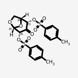 Cc1ccc(S(=O)(=O)O[C@@H]2C(=O)[C@H](OS(=O)(=O)c3ccc(C)cc3)[C@@H]3OC[C@H]2O3)cc1